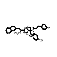 CN(C(=O)CCc1ccc(F)cc1)[C@]([C]=O)(Cc1ccc(O)cc1)C(=O)[C@H](CO)NC(=O)[C@@H](N)Cc1ccc2ccccc2c1